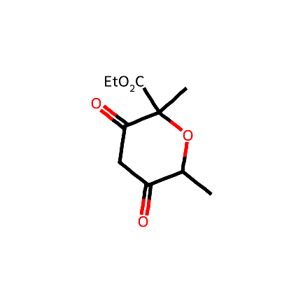 CCOC(=O)C1(C)OC(C)C(=O)CC1=O